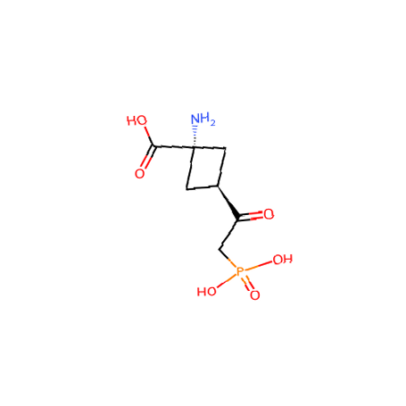 N[C@]1(C(=O)O)C[C@@H](C(=O)CP(=O)(O)O)C1